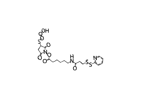 O=C(CCSSc1ccccn1)NCCCCCC(=O)ON1C(=O)CC(SOOO)C1=O